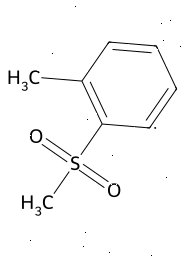 Cc1ccc[c]c1S(C)(=O)=O